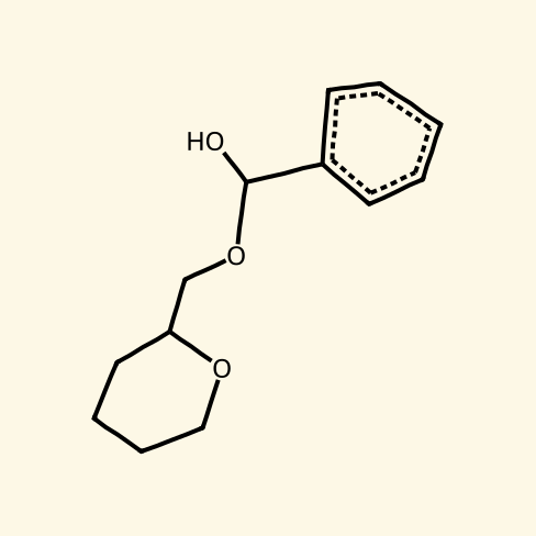 OC(OCC1CCCCO1)c1ccccc1